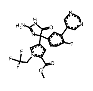 COC(=O)c1cc(C2(c3ccc(F)c(-c4cncnc4)c3)N=C(N)NC2=O)cn1CC(F)(F)F